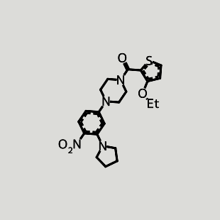 CCOc1ccsc1C(=O)N1CCN(c2ccc([N+](=O)[O-])c(N3CCCC3)c2)CC1